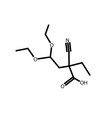 CCOC(CC(C#N)(CC)C(=O)O)OCC